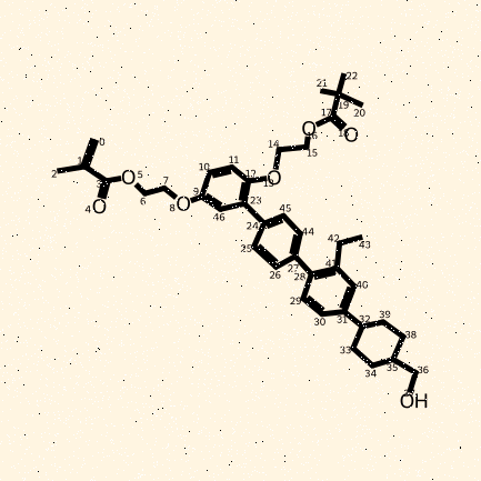 C=C(C)C(=O)OCCOc1ccc(OCCOC(=O)C(C)(C)C)c(-c2ccc(-c3ccc(C4CCC(CO)CC4)cc3CC)cc2)c1